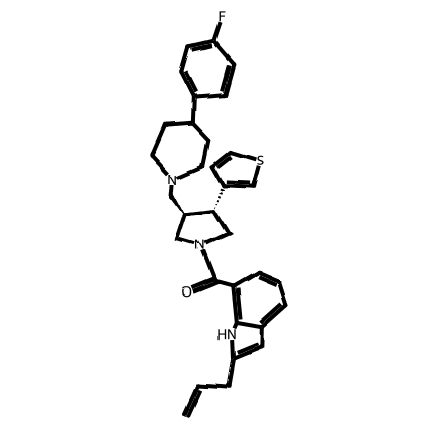 C=CCc1cc2cccc(C(=O)N3C[C@@H](CN4CCC(c5ccc(F)cc5)CC4)[C@H](c4ccsc4)C3)c2[nH]1